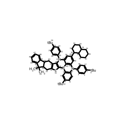 CC(C)(C)c1ccc(N2c3ccc(C(C)(C)C)cc3B3c4sc5c(c4N(c4ccc(C(C)(C)C)cc4)c4cc(C6CCCC7CCCCC76)cc2c43)CC2c3ccccc3C(C)(C)C2C5)cc1